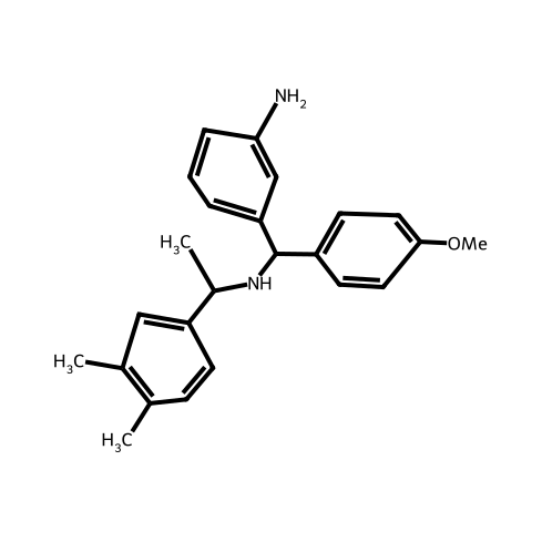 COc1ccc(C(NC(C)c2ccc(C)c(C)c2)c2cccc(N)c2)cc1